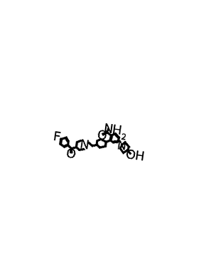 NC(=O)c1ccc(N2CCC(O)CC2)cc1C1CCC(CCN2CCC(C(=O)c3ccc(F)cc3)CC2)CC1